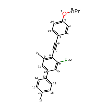 CCCOc1ccc(C#Cc2c(C)cc(-c3ccc(C)cc3)cc2F)cc1